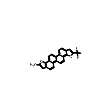 Cc1cc2ccc3c4ccc5c(ccc6cc(C(F)(F)F)oc65)c4ccc3c2o1